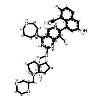 C#Cc1c(F)ccc2cc(O)cc(-c3ncc4c(N5CCCOCC5)nc(OC[C@]56CCC[C@H]5N(CC5COCCO5)CCC6)nc4c3F)c12